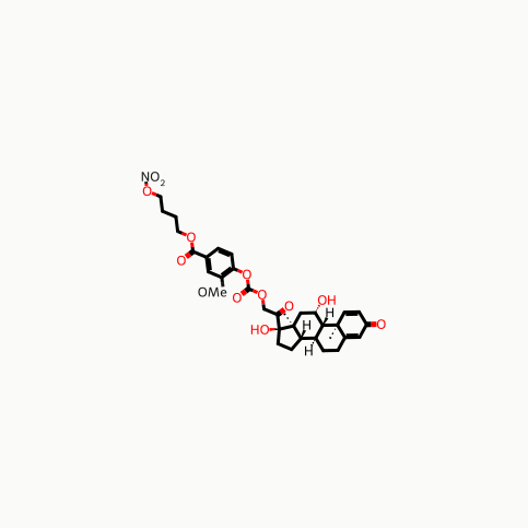 COc1cc(C(=O)OCCCCO[N+](=O)[O-])ccc1OC(=O)OCC(=O)[C@@]1(O)CC[C@H]2[C@@H]3CCC4=CC(=O)C=C[C@]4(C)[C@H]3[C@@H](O)C[C@@]21C